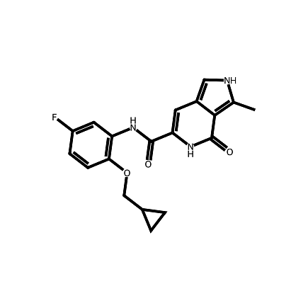 Cc1[nH]cc2cc(C(=O)Nc3cc(F)ccc3OCC3CC3)[nH]c(=O)c12